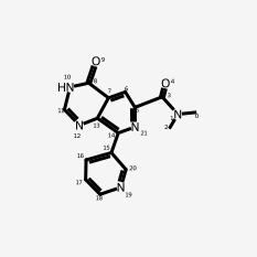 CN(C)C(=O)c1cc2c(=O)[nH]cnc2c(-c2cccnc2)n1